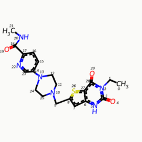 CCn1c(=O)[nH]c2cc(CN3CCN(c4ccc(C(=O)NC)nc4)CC3)sc2c1=O